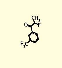 CC(F)C(=O)c1cccc(C(F)(F)F)c1